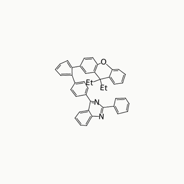 CCC1(CC)c2ccccc2Oc2ccc(-c3ccccc3-c3ccc(-c4nc(-c5ccccc5)nc5ccccc45)cc3)cc21